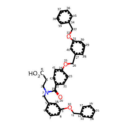 O=C(O)CCN(Cc1cccc(OCc2ccccc2)c1)C(=O)c1ccc(OCc2cccc(OCc3ccccc3)c2)cc1